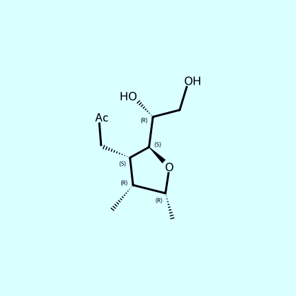 CC(=O)C[C@H]1[C@@H](C)[C@@H](C)O[C@@H]1[C@H](O)CO